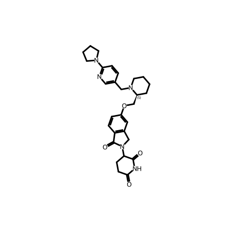 O=C1CCC(N2Cc3cc(OC[C@@H]4CCCCN4Cc4ccc(N5CCCC5)nc4)ccc3C2=O)C(=O)N1